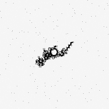 CCCCCCCC(=O)N(C)[C@H]1CC[C@H](O[C@H]2CCC[C@H](CC)OC(=O)C[C@@H]3C(=C[C@H]4[C@@H]5C[C@H](O[C@@H]6OC(C)[C@H](OC)[C@@H](OC)C6OC)C[C@H]5c5sc(C)nc5[C@H]43)C(=O)[C@@H]2C)OC1C